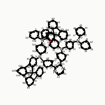 c1ccc(N(c2ccccc2)c2ccc(N(c3ccc(-c4nccnc4-c4ccc(N(c5ccc(N(c6ccccc6)c6ccccc6)cc5)c5ccc6c(c5)C5(c7ccccc7-c7ccccc75)c5ccccc5-6)cc4)cc3)c3ccc4c(c3)C3(c5ccccc5-c5ccccc53)c3ccccc3-4)cc2)cc1